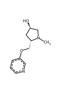 CN1C[C@H](O)C[C@H]1COc1cccnc1